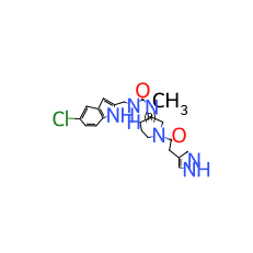 CN(C(=O)NCc1cc2cc(Cl)ccc2[nH]1)[C@@H]1CCCN(C(=O)Cc2cn[nH]c2)C1